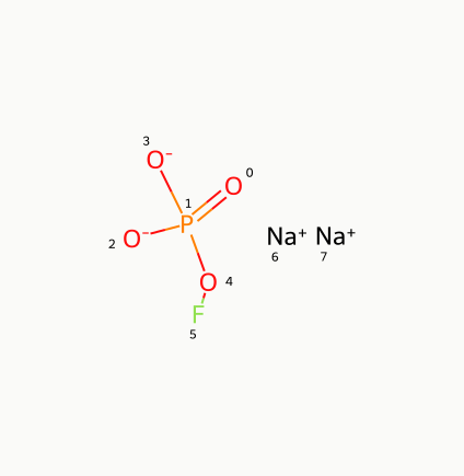 O=P([O-])([O-])OF.[Na+].[Na+]